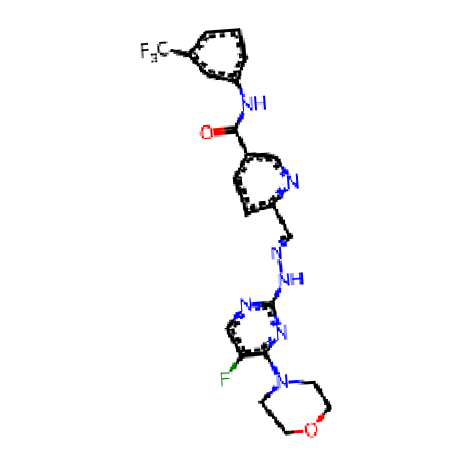 O=C(Nc1cccc(C(F)(F)F)c1)c1ccc(/C=N/Nc2ncc(F)c(N3CCOCC3)n2)nc1